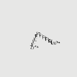 [F-].[F-].[F-].[F-].[F-].[F-].[F-].[F-].[K+].[Lu+3].[Zr+4]